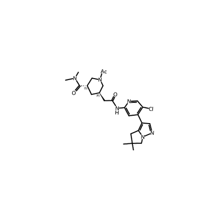 CC(=O)N1C[C@@H](CC(=O)Nc2cc(-c3cnn4c3CC(C)(C)C4)c(Cl)cn2)C[C@H](C(=O)N(C)C)C1